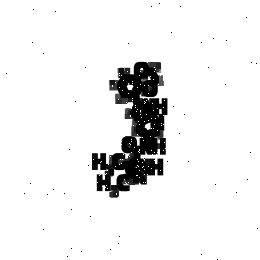 Cc1n[nH]c(C(=O)Nc2cnc3[nH]c(-c4cccc5c4OCCO5)cc3c2)c1C